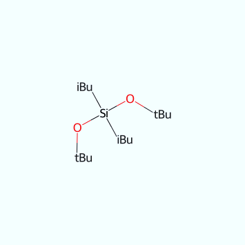 CCC(C)[Si](OC(C)(C)C)(OC(C)(C)C)C(C)CC